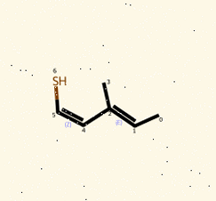 C/C=C(C)/C=C\S